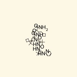 CC(C)(C)[C@H](NC(=O)N[C@H](CNc1ccccn1)C(C)(C)C)C(=O)N1C[C@]2(C[C@H]1C(=O)NC(CC1CCC1)C(=O)C(N)=O)C(C)(C)C21CCC1